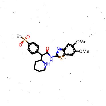 CCS(=O)(=O)c1ccc(C(C(=O)Nc2nc3cc(OC)c(OC)cc3s2)C2CCCCN2)cc1